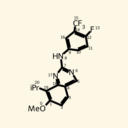 COc1ccc2cnc(Nc3ccc(F)c(C(F)(F)F)c3)nc2c1C(C)C